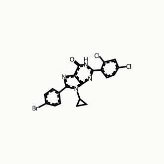 O=c1[nH]c(-c2ccc(Cl)cc2Cl)nc2c1nc(-c1ccc(Br)cc1)n2C1CC1